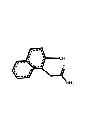 NC(=O)Cc1c(O)ccc2ccccc12